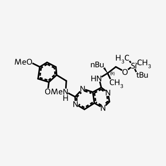 CCCC[C@](C)(CO[Si](C)(C)C(C)(C)C)Nc1ncnc2cnc(NCc3ccc(OC)cc3OC)nc12